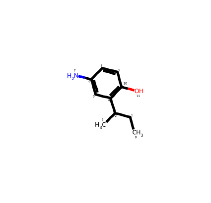 CCC(C)c1cc(N)ccc1O